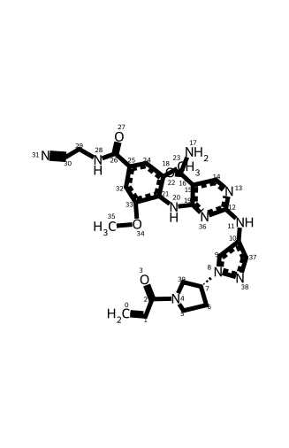 C=CC(=O)N1CC[C@@H](n2cc(Nc3ncc(C(N)=O)c(Nc4c(C)cc(C(=O)NCC#N)cc4OC)n3)cn2)C1